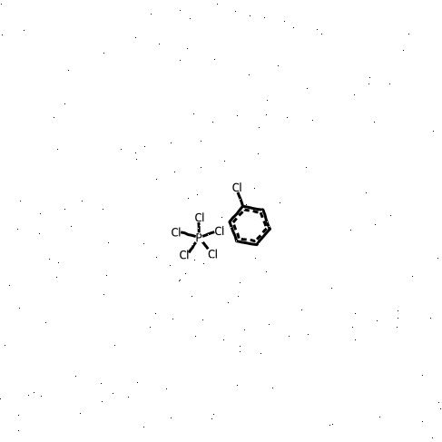 ClP(Cl)(Cl)(Cl)Cl.Clc1ccccc1